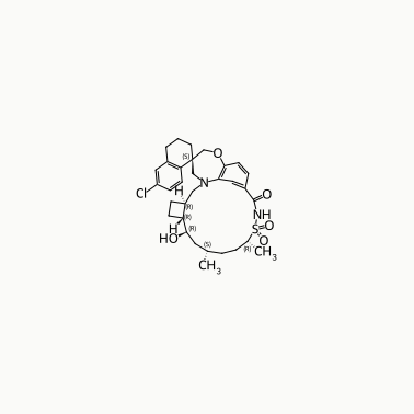 C[C@H]1CC[C@@H](C)S(=O)(=O)NC(=O)c2ccc3c(c2)N(C[C@@H]2CC[C@H]2[C@H](O)C1)C[C@@]1(CCCc2cc(Cl)ccc21)CO3